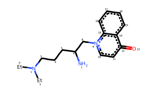 CCN(CC)CCCC(N)Cn1ccc(=O)c2ccccc21